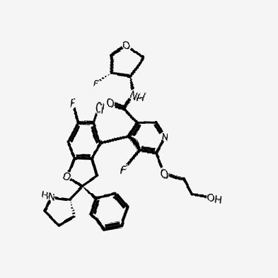 O=C(N[C@@H]1COC[C@H]1F)c1cnc(OCCO)c(F)c1-c1c(Cl)c(F)cc2c1C[C@](c1ccccc1)([C@@H]1CCCN1)O2